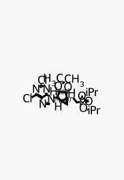 CC(C)OP(=O)(CC[C@]12C[C@@H]1[C@@H](n1cnc3c(Cl)nc(Cl)nc31)[C@@H]1OC(C)(C)O[C@@H]12)OC(C)C